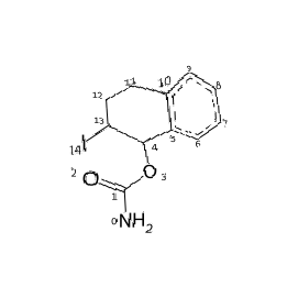 NC(=O)OC1c2ccccc2CCC1I